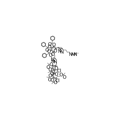 CC(=O)OCC1O[C@H](O[C@]2(CCl)O[C@H](Cn3cc(CO[C@H]4O[C@H](Cn5cc(CCCN=[N+]=[N-])nn5)[C@@H](OC(=O)c5ccccc5)[C@H](OC(=O)c5ccccc5)[C@@H]4OC(=O)c4ccccc4)nn3)[C@@H](OC(C)=O)[C@@H]2OC(C)=O)[C@H](OC(C)=O)[C@@H](OC(C)=O)[C@H]1Cl